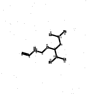 C=C[SiH2]COC(CN(CC)CC)N(CC)CC